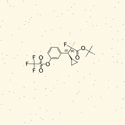 CC(C)(C)OC(=O)[C@](C)(F)[C@H](c1cccc(OS(=O)(=O)C(F)(F)F)c1)C1CC1